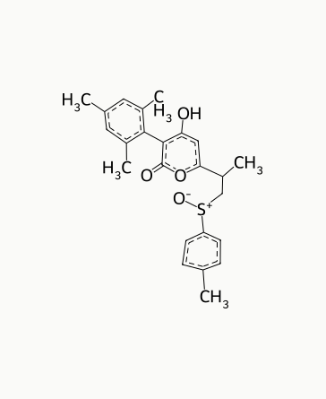 Cc1ccc([S+]([O-])CC(C)c2cc(O)c(-c3c(C)cc(C)cc3C)c(=O)o2)cc1